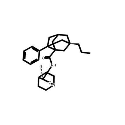 CCC[C@@]12CC3CC(C(=O)N[C@H]4CN5CCC4CC5)(C1)C(c1ccccc1)(C3)C2